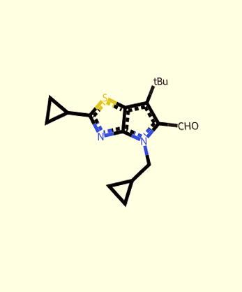 CC(C)(C)c1c(C=O)n(CC2CC2)c2nc(C3CC3)sc12